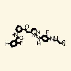 CN(C)CCCNc1ccc(Nc2nccc(CC(=O)c3cccc(N(C)C(=O)c4cc(F)ccc4F)c3)n2)cc1F